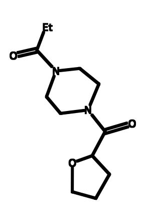 CCC(=O)N1CCN(C(=O)C2CCCO2)CC1